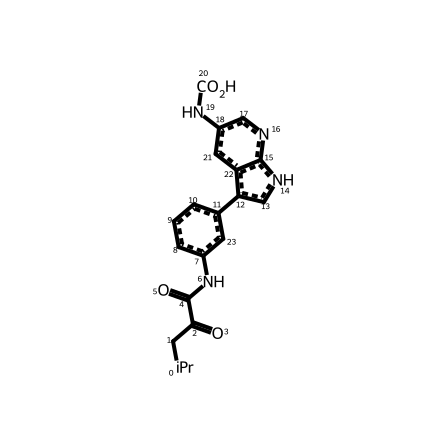 CC(C)CC(=O)C(=O)Nc1cccc(-c2c[nH]c3ncc(NC(=O)O)cc23)c1